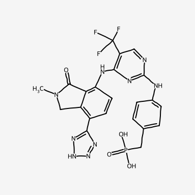 CN1Cc2c(-c3nn[nH]n3)ccc(Nc3nc(Nc4ccc(CP(=O)(O)O)cc4)ncc3C(F)(F)F)c2C1=O